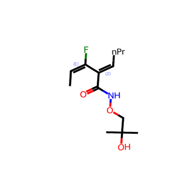 C/C=C(F)\C(=C/CCC)C(=O)NOCC(C)(C)O